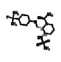 CC(=O)N1CCC[C@H](NS(C)(=O)=O)[C@@H]1COC1CCC(C(C)(C)F)CC1